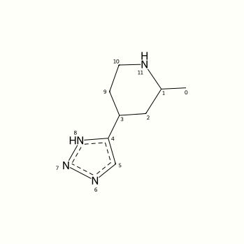 CC1CC(c2cnn[nH]2)CCN1